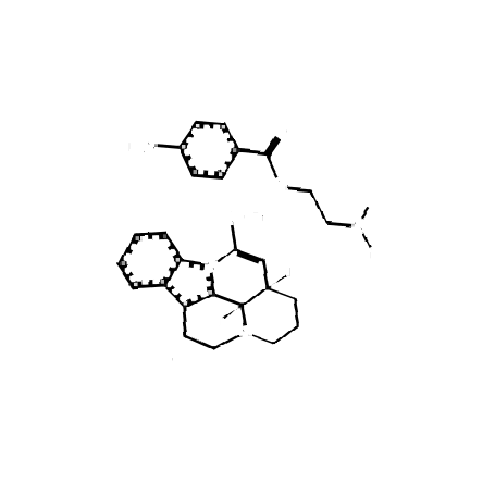 CCN(CC)CCOC(=O)c1ccc(N)cc1.CCOC(=O)C1=C[C@]2(CC)CCCN3CCc4c(n1c1ccccc41)[C@@H]32.Cl